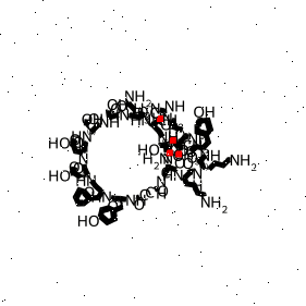 CC(C)C[C@@H]1NC(=O)C(C(C)C)NC(=O)[C@H](CC(N)=O)NC(=O)C(CO)NC(=O)[C@H](CO)NC(=O)C(CC(=O)O)NC(=O)[C@H](CC(=O)O)NC(=O)C(Cc2ccccc2)NC(=O)[C@H](Cc2ccc(O)cc2)NC(=O)CCC(=O)NCC(C(=O)NC(CCCCN)C(=O)N[C@@H](CCCCN)C(=O)NC(Cc2ccc(O)cc2)C(=O)N[C@@H](CCCNC(=N)N)C(=O)NC(CO)C(N)=O)NC1=O